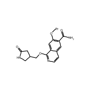 CC(C)Oc1cc2c(OCC3CNC(=O)C3)nccc2cc1C(N)=O